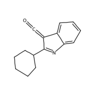 O=C=C1C(C2CCCCC2)=Nc2ccccc21